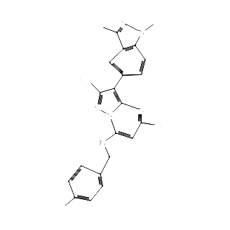 Cc1cc(NCc2ccc(F)cc2)n2nc(C)c(-c3ccc4c(c3)c(C)nn4C)c2n1